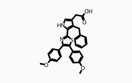 COc1ccc(-c2nc(-c3[nH]cc(CC(=O)O)c3Cc3ccccc3)sc2-c2ccc(OC)cc2)cc1